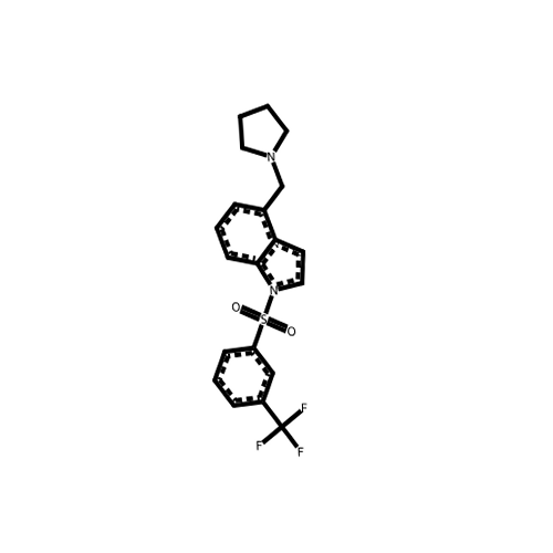 O=S(=O)(c1cccc(C(F)(F)F)c1)n1ccc2c(CN3CCCC3)cccc21